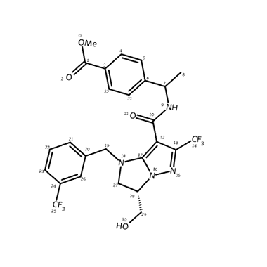 COC(=O)c1ccc(C(C)NC(=O)c2c(C(F)(F)F)nn3c2N(Cc2cccc(C(F)(F)F)c2)C[C@H]3CO)cc1